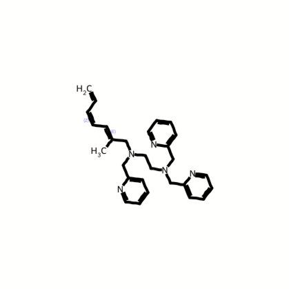 C=C/C=C\C=C(/C)CN(CCN(Cc1ccccn1)Cc1ccccn1)Cc1ccccn1